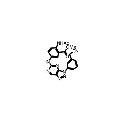 COC(=O)c1cc(Nc2ncc3nnn(-c4cccc(CC#N)c4)c3n2)ccc1NC(C)=O